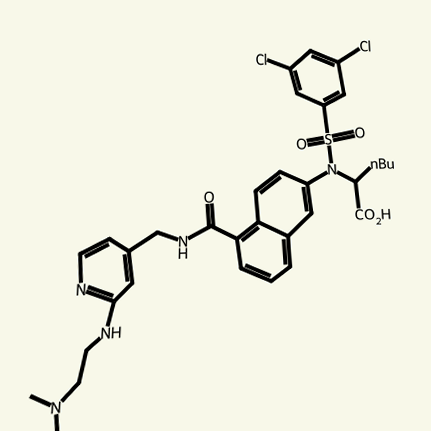 CCCCC(C(=O)O)N(c1ccc2c(C(=O)NCc3ccnc(NCCN(C)C)c3)cccc2c1)S(=O)(=O)c1cc(Cl)cc(Cl)c1